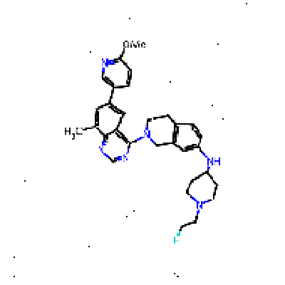 COc1ccc(-c2cc(C)c3ncnc(N4CCc5ccc(NC6CCN(CCF)CC6)cc5C4)c3c2)cn1